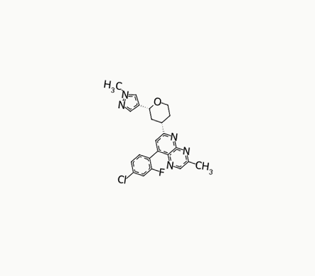 Cc1cnc2c(-c3ccc(Cl)cc3F)cc([C@H]3CCO[C@@H](c4cnn(C)c4)C3)nc2n1